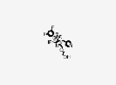 CC(C)c1nc(COCCO)n(Cc2ccncc2)c1S(=O)(=O)Oc1cc(F)cc(F)c1